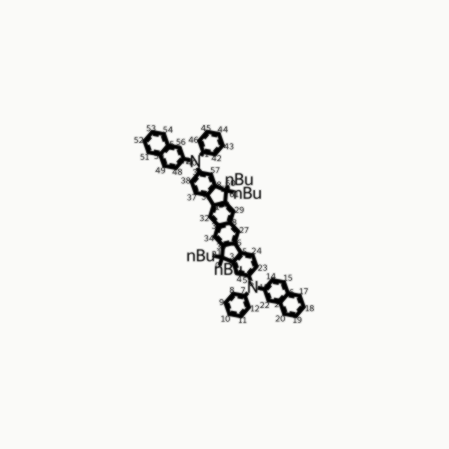 CCCCC1(CCCC)c2cc(N(c3ccccc3)c3ccc4ccccc4c3)ccc2-c2cc3cc4c(cc3cc21)-c1ccc(N(c2ccccc2)c2ccc3ccccc3c2)cc1C4(CCCC)CCCC